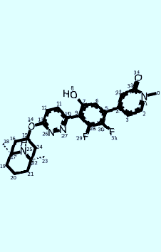 Cn1ccc(-c2cc(O)c(-c3ccc(OC4C[C@]5(C)CCC[C@](C)(C4)N5)nn3)c(F)c2F)cc1=O